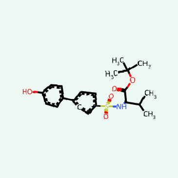 CC(C)C(NS(=O)(=O)c1ccc(-c2ccc(O)cc2)cc1)C(=O)OC(C)(C)C